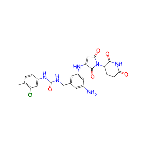 Cc1ccc(NC(=O)NCc2cc(N)cc(NC3=CC(=O)N(C4CCC(=O)NC4=O)C3=O)c2)cc1Cl